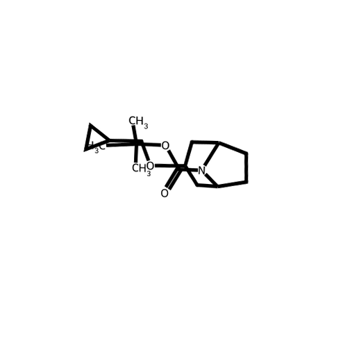 CC(C)(C)OC(=O)N1C2CCC1CC(OCC1CC1)C2